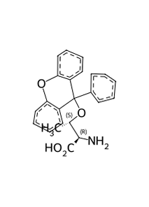 C[C@H](OC1(c2ccccc2)c2ccccc2Oc2ccccc21)[C@@H](N)C(=O)O